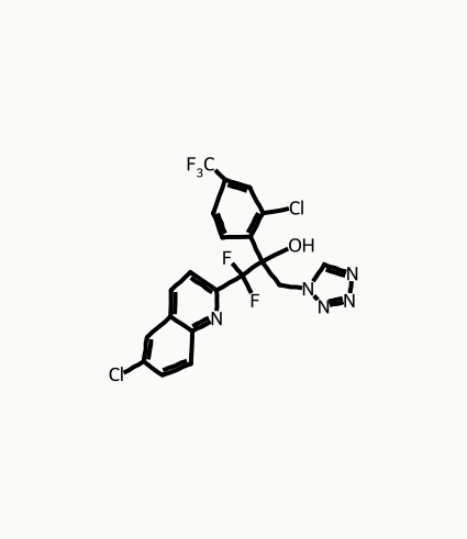 OC(Cn1cnnn1)(c1ccc(C(F)(F)F)cc1Cl)C(F)(F)c1ccc2cc(Cl)ccc2n1